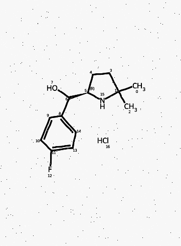 CC1(C)CC[C@H](C(O)c2ccc(F)cc2)N1.Cl